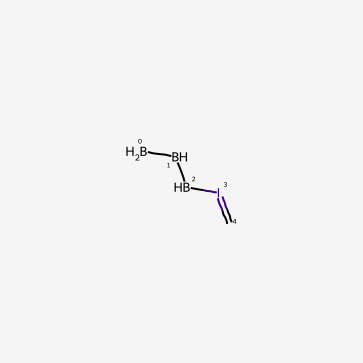 BBBI=C